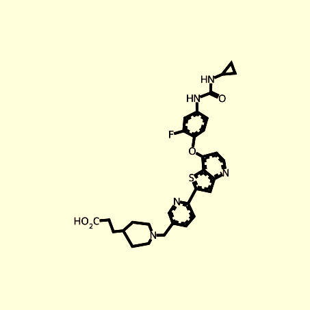 O=C(O)CCC1CCN(Cc2ccc(-c3cc4nccc(Oc5ccc(NC(=O)NC6CC6)cc5F)c4s3)nc2)CC1